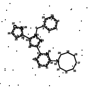 c1ccc(Cn2nc(-c3nccc(N4CCCCCCC4)n3)cc2-c2ccon2)cc1